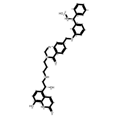 CC(C)CN(CCCNC[C@H](O)c1ccc(O)c2[nH]c(=O)ccc12)C(=O)c1ccc(COc2cccc([C@@H](NC(=O)O)c3ccccc3)c2)cc1